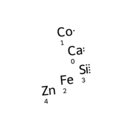 [Ca].[Co].[Fe].[Si].[Zn]